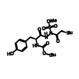 CC[C@H](C)CC(=O)N(NC(=O)[C@H](Cc1ccc(O)cc1)NC(=O)OC(C)(C)C)S(=O)(=O)OC